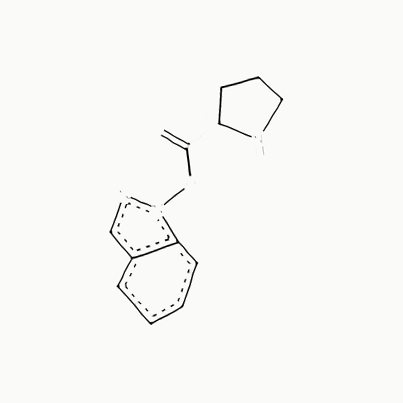 O=C(On1ncc2ccccc21)[C@@H]1CCCN1